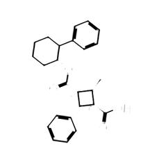 C[C@H]1[C@@H](C(=O)O)[C@H](c2ccccc2)[C@@H]1C(=O)O[C@@H]1CCCCC1c1ccccc1